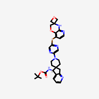 CC(C)(C)OC(=O)N[C@@H]1c2cccnc2CC12CCN(c1cnc(Sc3ccnc4c3OCC3(COC3)N4)cn1)CC2